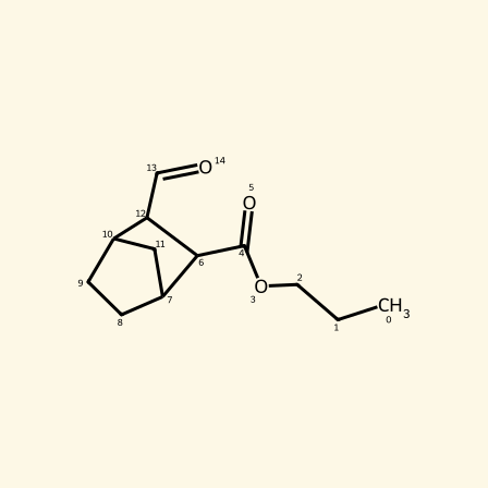 CCCOC(=O)C1C2CCC(C2)C1C=O